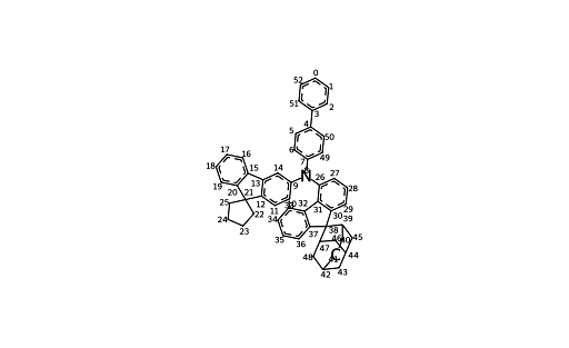 c1ccc(-c2ccc(N(c3ccc4c(c3)-c3ccccc3C43CCCC3)c3cccc4c3-c3ccccc3C43C4CCC5CC(C4)CC3C5)cc2)cc1